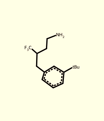 CC(C)(C)c1cccc(CC(CCN)C(F)(F)F)c1